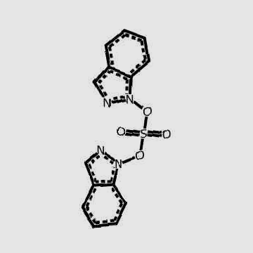 O=S(=O)(On1ncc2ccccc21)On1ncc2ccccc21